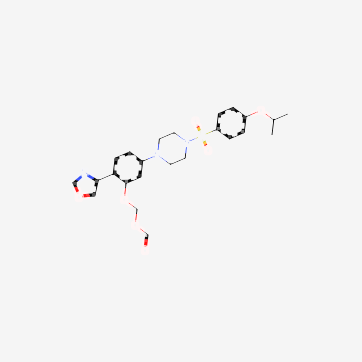 CC(C)Oc1ccc(S(=O)(=O)N2CCN(c3ccc(-c4cocn4)c(OCOC=O)c3)CC2)cc1